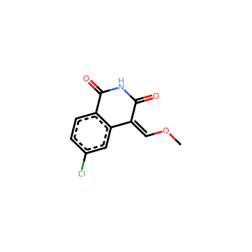 COC=C1C(=O)NC(=O)c2ccc(Cl)cc21